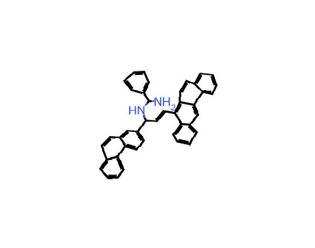 NC(NC(/C=C/c1c2ccccc2cc2c1ccc1ccccc12)c1ccc2c(ccc3ccccc32)c1)c1ccccc1